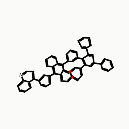 c1ccc(-c2cc(-c3ccccc3)c(-c3cccc(-c4c5ccccc5c(-c5cccc(-c6ccnc7ccccc67)c5)c5ccccc45)c3)c(-c3ccccc3)c2)cc1